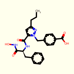 CCCc1cc(C(=O)N[C@@H](Cc2ccccc2)C(=O)NO)n(Cc2ccc(C(=O)O)cc2)n1